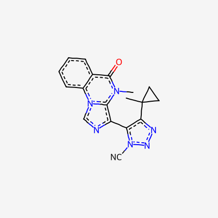 Cn1c(=O)c2ccccc2n2cnc(-c3c(C4(C)CC4)nnn3C#N)c12